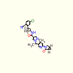 Cc1cc(N2C[C@H]3C[C@H]3C2=O)ncc1[C@H](C)n1cc(C(=O)NC2CC(C)(c3cc(Cl)ccc3C#N)C2)cn1